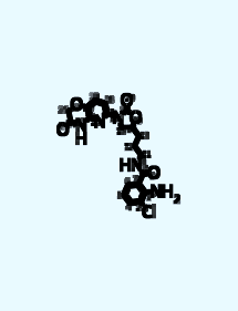 Nc1c(Cl)cccc1C(=O)NCCCC1CN(c2ccc3c(n2)NC(=O)CO3)C(=O)O1